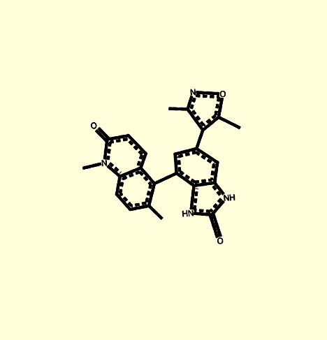 Cc1ccc2c(ccc(=O)n2C)c1-c1cc(-c2c(C)noc2C)cc2[nH]c(=O)[nH]c12